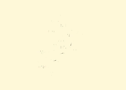 COC(=O)[C@@H](CNC(=O)[C@@H]1C2C(CN1C(=O)C(NC(=O)C(F)(F)F)C(C)(C)C)C2(C)C)C[C@@H]1CCNC1=O